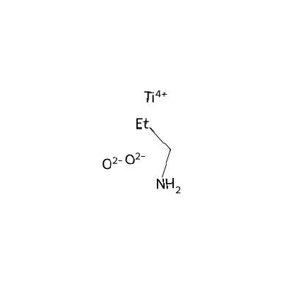 CCCN.[O-2].[O-2].[Ti+4]